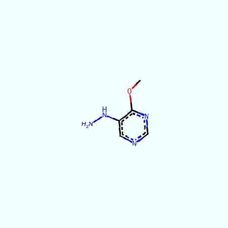 COc1ncncc1NN